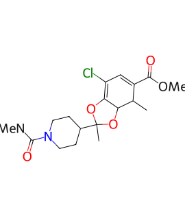 CNC(=O)N1CCC(C2(C)OC3=C(Cl)C=C(C(=O)OC)C(C)C3O2)CC1